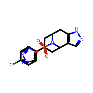 O=S(=O)(c1ccc(Cl)cc1)N1C2Cc3[nH]ncc3C1CC(c1c[nH]nn1)C2